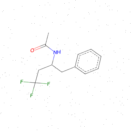 CC(=O)NC(Cc1ccccc1)CC(F)(F)F